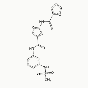 CS(=O)(=O)Nc1cccc(NC(=O)c2coc(NC(=O)c3ccco3)n2)c1